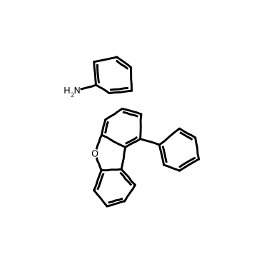 Nc1ccccc1.c1ccc(-c2cccc3oc4ccccc4c23)cc1